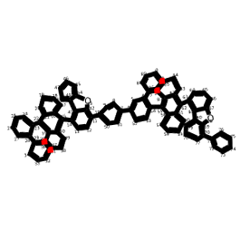 c1ccc(-c2cc(-c3ccc(-c4ccc(-c5c6ccccc6c(-c6ccccc6-c6ccccc6)c6ccccc56)c5c4oc4ccccc45)cc3)ccc2-c2c3ccccc3c(-c3cccc4oc5c(-c6ccccc6)cccc5c34)c3ccccc23)cc1